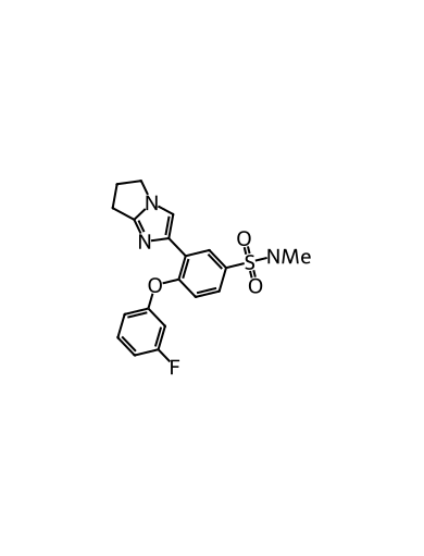 CNS(=O)(=O)c1ccc(Oc2cccc(F)c2)c(-c2cn3c(n2)CCC3)c1